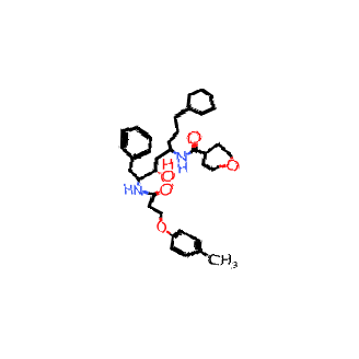 Cc1ccc(OCCC(=O)NC(Cc2ccccc2)[C@@H](O)CC(CCCC2CCCCC2)NC(=O)C2CCOCC2)cc1